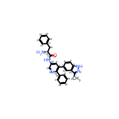 Cc1n[nH]c2ccc(-c3cc(NC(=O)[C@@H](N)Cc4ccccc4)cnc3-c3ccccc3)cc12